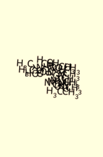 CCC(C)C(NC(=O)C(C)C(OC)[C@@H]1CCCN1C(=O)CC(OC)C(C(C)CC)N(C)C(=O)C(NC(=O)C(C(C)C)N(C)C)C(C)N=[N+]=[N-])C(=O)O